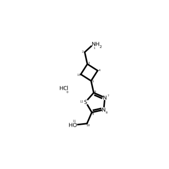 Cl.NCC1CC(c2nnc(CO)s2)C1